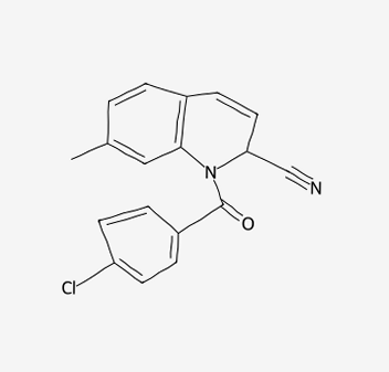 Cc1ccc2c(c1)N(C(=O)c1ccc(Cl)cc1)C(C#N)C=C2